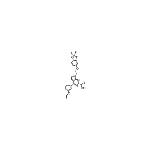 CCOc1cccc(-c2nc(C(=O)O)nc3c2ccn3CCOc2ccc(OC(F)(F)F)cc2)c1